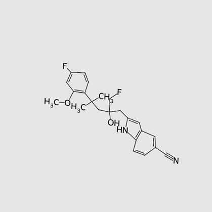 COc1cc(F)ccc1C(C)(C)CC(O)(CF)Cc1cc2cc(C#N)ccc2[nH]1